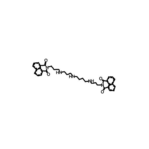 O=C1c2cccc3cccc(c23)C(=O)N1CCCNCCCCNCCCNCCCN1C(=O)c2cccc3cccc(c23)C1=O